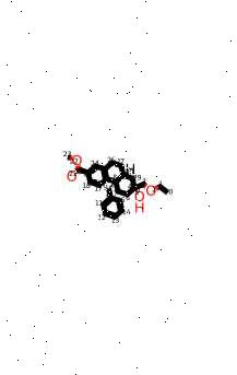 CCOC[C@@]1(O)CC[C@@]2(Cc3ccccc3)c3ccc(C(=O)OC)cc3CC[C@@H]2C1